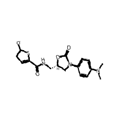 CN(C)c1ccc(N2C[C@H](CNC(=O)C3=CCC(Cl)S3)OC2=O)cc1